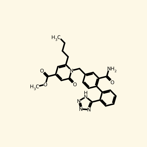 CCCCc1cc(C(=O)OC)cc(=O)n1Cc1ccc(-c2ccccc2-c2nnn[nH]2)c(C(N)=O)c1